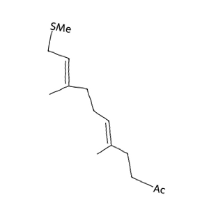 CSC/C=C(\C)CC/C=C(\C)CCC(C)=O